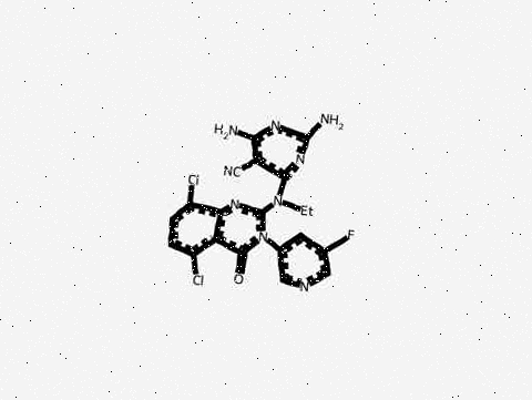 CCN(c1nc(N)nc(N)c1C#N)c1nc2c(Cl)ccc(Cl)c2c(=O)n1-c1cncc(F)c1